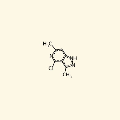 Cc1cc2[nH]nc(C)c2c(Cl)n1